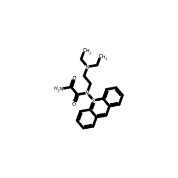 CCN(CC)CCN(C(=O)C(N)=O)S1=c2ccccc2=Cc2ccccc21